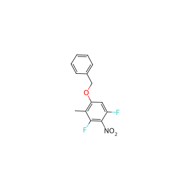 Cc1c(OCc2ccccc2)cc(F)c([N+](=O)[O-])c1F